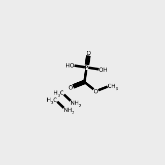 CN.CN.COC(=O)P(=O)(O)O